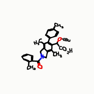 Cc1ccc(-c2c(C)c3c(c(C)c2C(OC(C)(C)C)C(=O)O)CN(C(=O)c2ccccc2C)C3)cc1